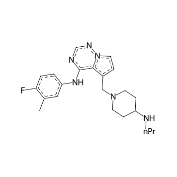 CCCNC1CCN(Cc2ccn3ncnc(Nc4ccc(F)c(C)c4)c23)CC1